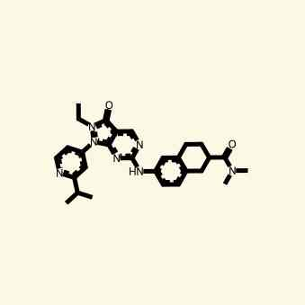 CCn1c(=O)c2cnc(Nc3ccc4c(c3)CCC(C(=O)N(C)C)C4)nc2n1-c1ccnc(C(C)C)c1